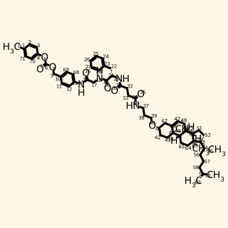 Cc1ccc(OC(=O)OCc2ccc(NC(=O)CNC(=O)[C@H](Cc3ccccc3)NC(=O)CCC(=O)NCCCO[C@H]3CC[C@@]4(C)C(=CC[C@H]5[C@@H]6CC[C@H]([C@H](C)CCCC(C)C)[C@@]6(C)CC[C@@H]54)C3)cc2)cc1